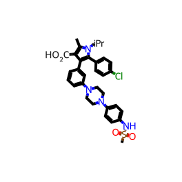 Cc1c(C(=O)O)c(-c2cccc(N3CCN(c4ccc(NS(C)(=O)=O)cc4)CC3)c2)c(-c2ccc(Cl)cc2)n1C(C)C